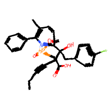 CCC#CC(C(=O)O)([PH](=O)OC)C(O)(Cc1ccc(F)cc1)c1ccc(C)c(-c2ccccc2)n1